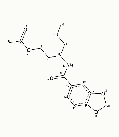 CCCC(CCOC(C)=O)NC(=O)c1ccc2c(c1)OCO2